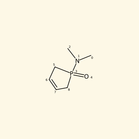 CN(C)P1(=O)CC=CC1